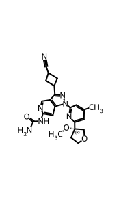 CO[C@@]1(c2cc(C)cc(-n3nc(C4CC(C#N)C4)c4cnc(NC(N)=O)cc43)n2)CCOC1